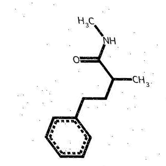 CNC(=O)C(C)CCc1ccccc1